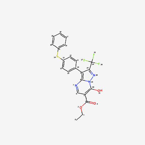 CCOC(=O)c1cnc2c(-c3ccc(Sc4ccccc4)cc3)c(C(F)(F)F)nn2c1O